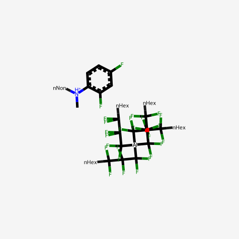 CCCCCCC(F)(F)C(F)(F)[C](F)(F)[Al-]([C](F)(F)C(F)(F)C(F)(F)CCCCCC)([C](F)(F)C(F)(F)C(F)(F)CCCCCC)[C](F)(F)C(F)(F)C(F)(F)CCCCCC.CCCCCCCCC[NH+](C)c1ccc(F)cc1F